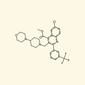 COC(=O)c1c(CN2CCC(N3CCOCC3)CC2)c(-c2cccc(C(F)(F)F)c2)nc2ccc(Cl)cc12